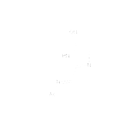 CC(=O)/N=C/c1ncc(O)[nH]1